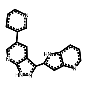 c1cncc(-c2cnc3[nH]nc(-c4cc5ncccc5[nH]4)c3c2)c1